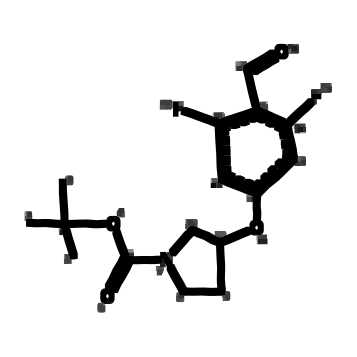 CC(C)(C)OC(=O)N1CCC(Oc2cc(F)c(C=O)c(F)c2)C1